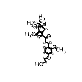 COc1cc(OCCO)ccc1CCC(=O)c1sc(C)c2c1C[C@@H]1[C@H]2C1(C)C